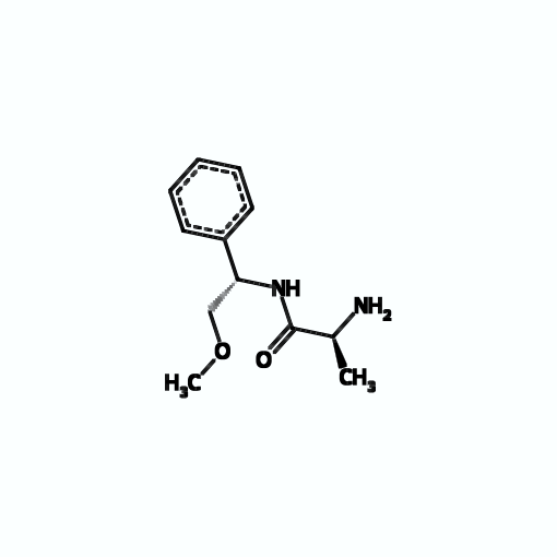 COC[C@@H](NC(=O)[C@H](C)N)c1ccccc1